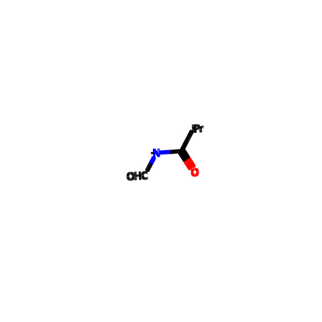 CC(C)C(=O)[N]C=O